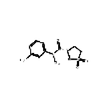 Cc1cccc(N(C)C(=O)[C@@H]2CCS(=O)(=O)N2)c1